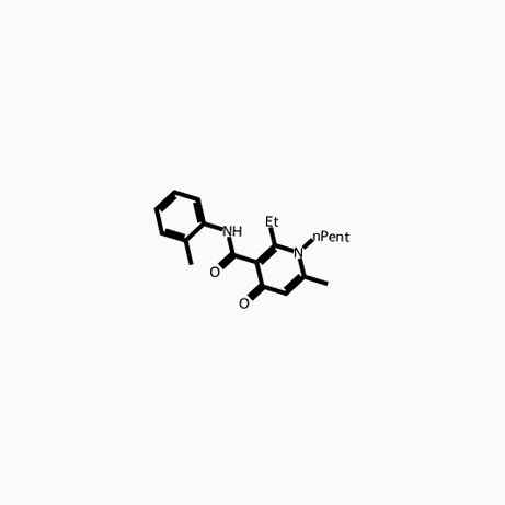 CCCCCn1c(C)cc(=O)c(C(=O)Nc2ccccc2C)c1CC